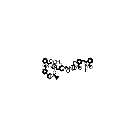 C[C@H]1CN(CC2CCN(CC(=O)N3CCN(C(=O)c4cc(Cc5n[nH]c(=O)c6ccccc56)ccc4F)CC3)CC2)CCN1C(=O)[C@H](NC(=O)c1cccc([C@@H]2CCCN(C(=O)C3CC3)C2)c1)C1CCCCC1